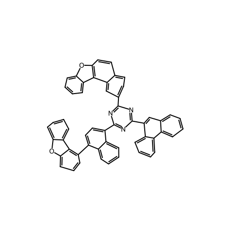 c1ccc2c(c1)cc(-c1nc(-c3ccc4ccc5oc6ccccc6c5c4c3)nc(-c3ccc(-c4cccc5oc6ccccc6c45)c4ccccc34)n1)c1ccccc12